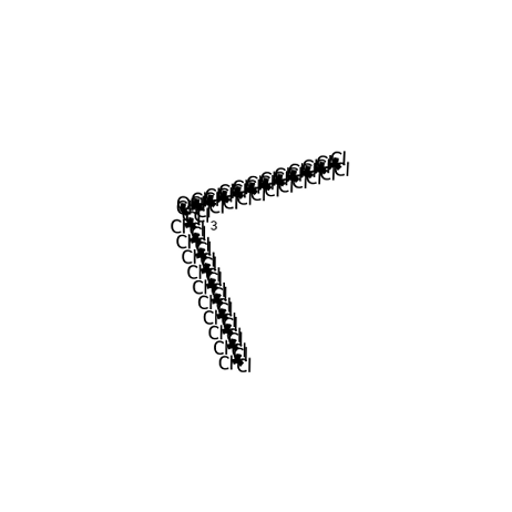 ClC(Cl)Cl.ClC(Cl)Cl.ClC(Cl)Cl.ClC(Cl)Cl.ClC(Cl)Cl.ClC(Cl)Cl.ClC(Cl)Cl.ClC(Cl)Cl.ClC(Cl)Cl.ClC(Cl)Cl.ClC(Cl)Cl.ClC(Cl)Cl.ClC(Cl)Cl.ClC(Cl)Cl.ClC(Cl)Cl.ClC(Cl)Cl.ClC(Cl)Cl.ClC(Cl)Cl.ClC(Cl)Cl.ClC(Cl)Cl.ClC(Cl)Cl.OCC(Cl)(Cl)Cl